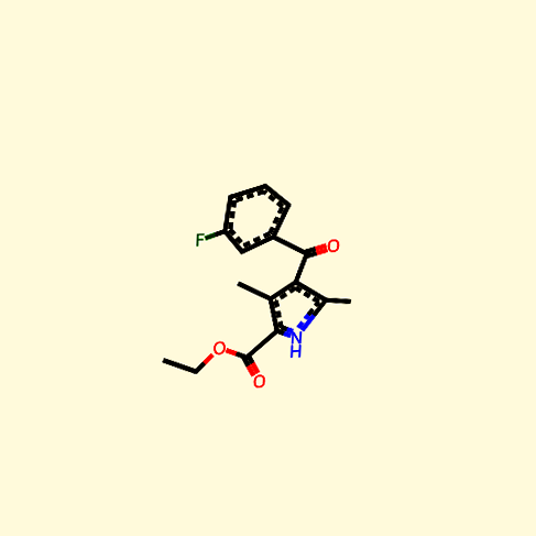 CCOC(=O)c1[nH]c(C)c(C(=O)c2cccc(F)c2)c1C